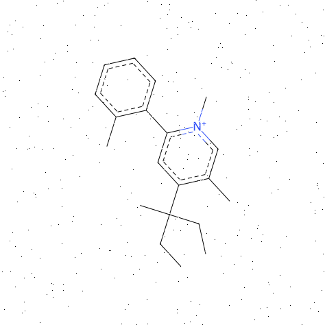 CCC(C)(CC)c1cc(-c2ccccc2C)[n+](C)cc1C